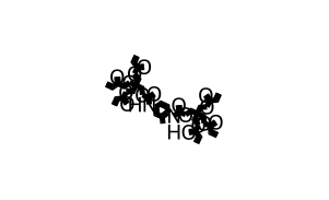 C=CC(=O)COC(COC(=O)C=C)(COC(=O)C=C)COC(=O)Nc1ccc(NC(=O)OCC(COC(=O)C=C)(COC(=O)C=C)COC(=O)C=C)c(C)c1